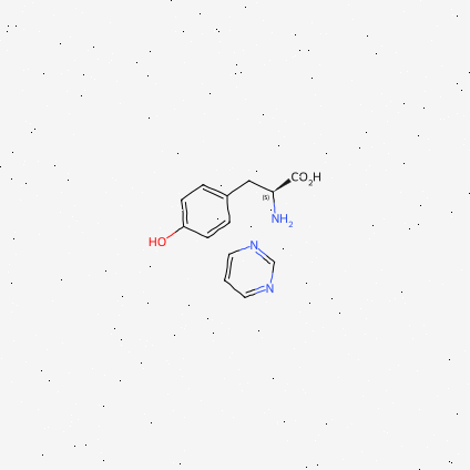 N[C@@H](Cc1ccc(O)cc1)C(=O)O.c1cncnc1